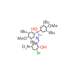 COc1c(C(C)(C)C)cc(C(O)(c2cc(C(C)(C)C)c(OC)c(C(C)(C)C)c2)C(C)N=Cc2cc([N+](=O)[O-])cc(Br)c2O)cc1C(C)(C)C